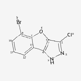 Clc1n[nH]c2c1oc1c(Br)cccc12